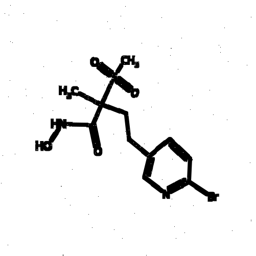 CC(CCc1ccc(Br)nc1)(C(=O)NO)S(C)(=O)=O